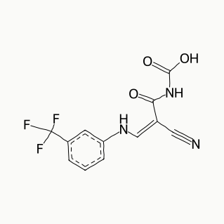 N#CC(=CNc1cccc(C(F)(F)F)c1)C(=O)NC(=O)O